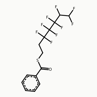 O=C(SCCC(F)(F)C(F)(F)C(F)(F)C(F)C(F)F)c1ccccc1